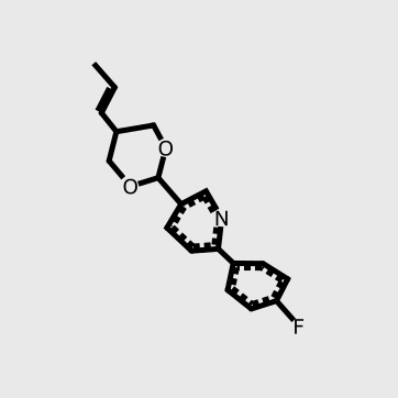 C/C=C/C1COC(c2ccc(-c3ccc(F)cc3)nc2)OC1